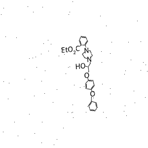 CCOC(=O)c1ccccc1N1CCN(CC(O)COc2ccc(OCc3ccccc3)cc2)CC1